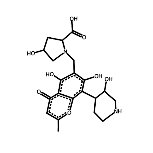 Cc1cc(=O)c2c(O)c(CN3CC(O)CC3C(=O)O)c(O)c(C3CCNCC3O)c2o1